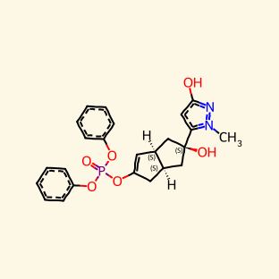 Cn1nc(O)cc1[C@]1(O)C[C@H]2CC(OP(=O)(Oc3ccccc3)Oc3ccccc3)=C[C@H]2C1